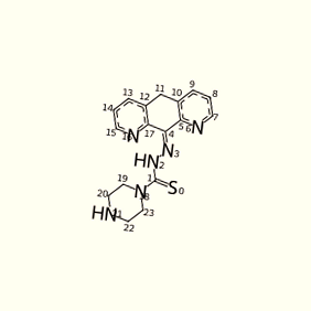 S=C(NN=C1c2ncccc2Cc2cccnc21)N1CCNCC1